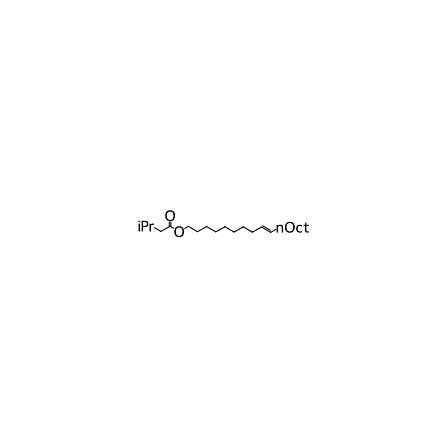 CCCCCCCCC=CCCCCCCCCOC(=O)CC(C)C